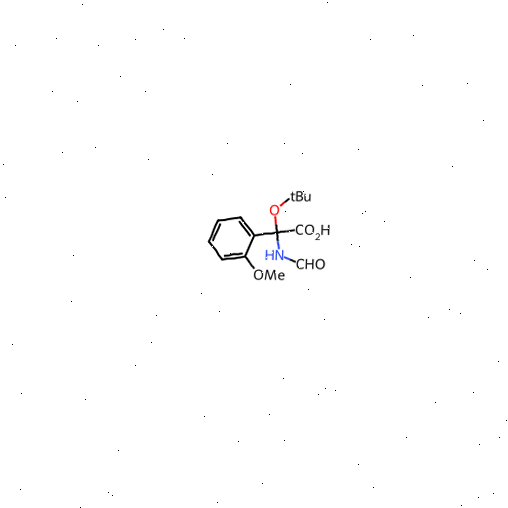 COc1ccccc1C(NC=O)(OC(C)(C)C)C(=O)O